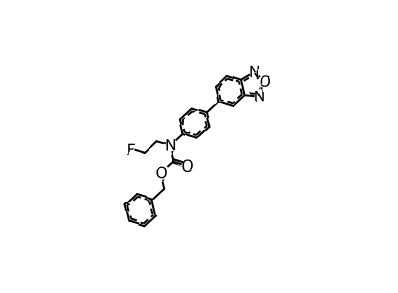 O=C(OCc1ccccc1)N(CCF)c1ccc(-c2ccc3nonc3c2)cc1